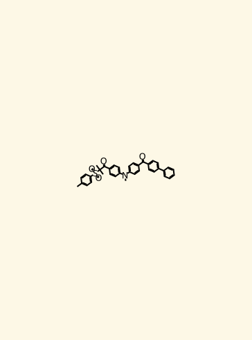 Cc1ccc(S(=O)(=O)C(C)(C)C(=O)c2ccc(N(C)c3ccc(C(=O)c4ccc(-c5ccccc5)cc4)cc3)cc2)cc1